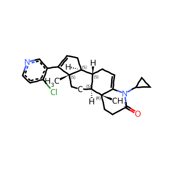 C[C@]12CCC(=O)N(C3CC3)C1=CC[C@@H]1[C@@H]2CC[C@]2(C)C(c3cnccc3Cl)=CC[C@@H]12